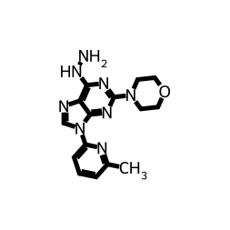 Cc1cccc(-n2cnc3c(NN)nc(N4CCOCC4)nc32)n1